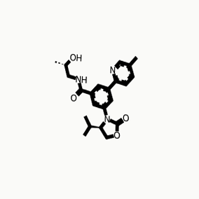 Cc1ccc(-c2cc(C(=O)NC[C@H](C)O)cc(N3C(=O)OC[C@H]3C(C)C)c2)nc1